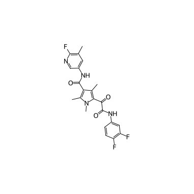 Cc1cc(NC(=O)c2c(C)c(C(=O)C(=O)Nc3ccc(F)c(F)c3)n(C)c2C)cnc1F